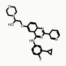 OC(COC1=CC2C(Nc3ccc(F)c(C4CC4)c3)=NC(C3C=NC=CC3)=NC2C=C1)N1CCOCC1